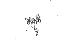 Nc1nc(NCc2ccccc2OC(F)(F)F)nc(C[C@H]2CC[C@H](N3CCCNCC3)CC2)c1[N+](=O)[O-]